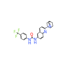 O=C(Nc1ccc(C(F)(F)F)cc1)Nc1ccc2nc(N3CC4CCC3CC4)ccc2c1